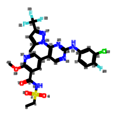 CCS(=O)(=O)NC(=O)c1cc(-c2cnc(Nc3ccc(F)c(Cl)c3)nc2-n2nc(C(F)(F)F)cc2C)cnc1OC